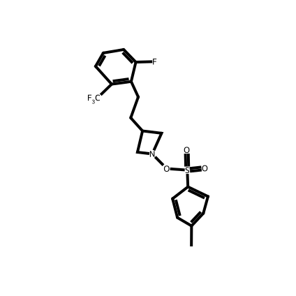 Cc1ccc(S(=O)(=O)ON2CC(CCc3c(F)cccc3C(F)(F)F)C2)cc1